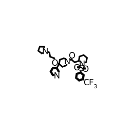 O=C(CC1CCCCN1S(=O)(=O)c1cccc(C(F)(F)F)c1)N1CCC(OCCCN2CCCC2)(c2cccnc2)CC1